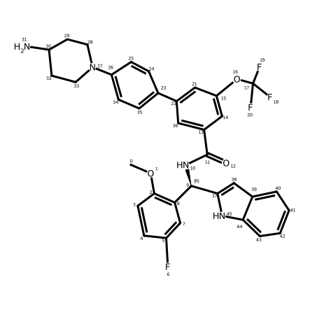 COc1ccc(F)cc1[C@@H](NC(=O)c1cc(OC(F)(F)F)cc(-c2ccc(N3CCC(N)CC3)cc2)c1)c1cc2ccccc2[nH]1